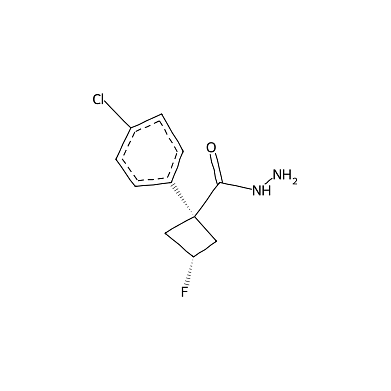 NNC(=O)[C@]1(c2ccc(Cl)cc2)C[C@@H](F)C1